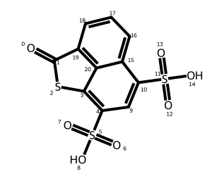 O=C1Sc2c(S(=O)(=O)O)cc(S(=O)(=O)O)c3cccc1c23